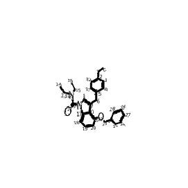 CCc1ccc(Cc2cn(C(=O)N(CC)CC)c3cccc(OCc4ccccc4)c23)cc1